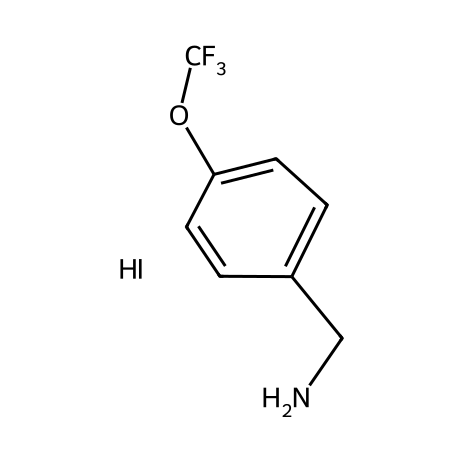 I.NCc1ccc(OC(F)(F)F)cc1